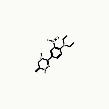 C=C1C[C@@H](C)C(c2ccc(N(CC)CC)c([N+](=O)[O-])c2)=NN1